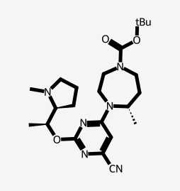 C[C@H](Oc1nc(C#N)cc(N2CCN(C(=O)OC(C)(C)C)CC[C@@H]2C)n1)[C@@H]1CCCN1C